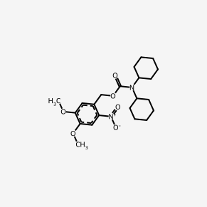 COc1cc(COC(=O)N(C2CCCCC2)C2CCCCC2)c([N+](=O)[O-])cc1OC